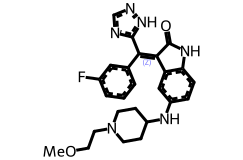 COCCN1CCC(Nc2ccc3c(c2)/C(=C(\c2cccc(F)c2)c2ncn[nH]2)C(=O)N3)CC1